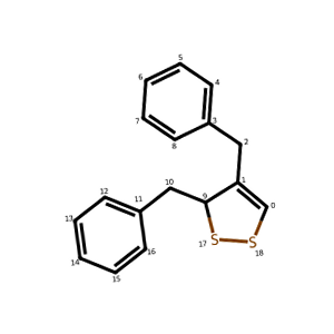 C1=C(Cc2ccccc2)C(Cc2ccccc2)SS1